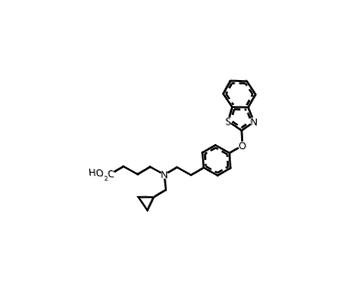 O=C(O)CCCN(CCc1ccc(Oc2nc3ccccc3s2)cc1)CC1CC1